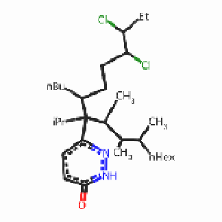 CCCCCCC(C)C(C)C(C)C(c1ccc(=O)[nH]n1)(C(C)C)C(CCCC)CCC(Cl)C(Cl)CC